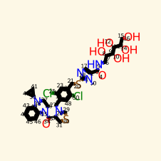 Cn1c(C(=O)NC[C@H](O)[C@@H](O)[C@H](O)[C@H](O)CO)cnc1SCc1cc(Cl)c(CN2CSC[C@H]2C(=O)N2CCN(C3CC3)c3ccccc32)cc1Cl